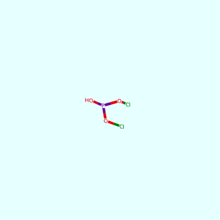 OP(OCl)OCl